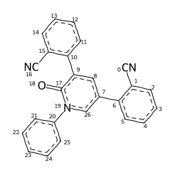 N#Cc1ccccc1-c1cc(-c2ccccc2C#N)c(=O)n(-c2ccccc2)c1